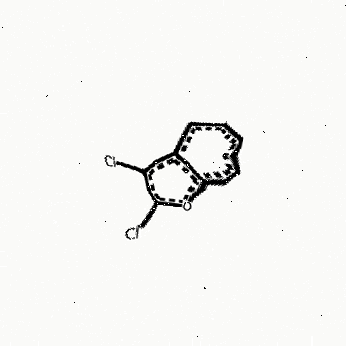 Clc1oc2cc[c]cc2c1Cl